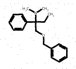 CCC(COCc1ccccc1)(c1ccccc1)N(C)C